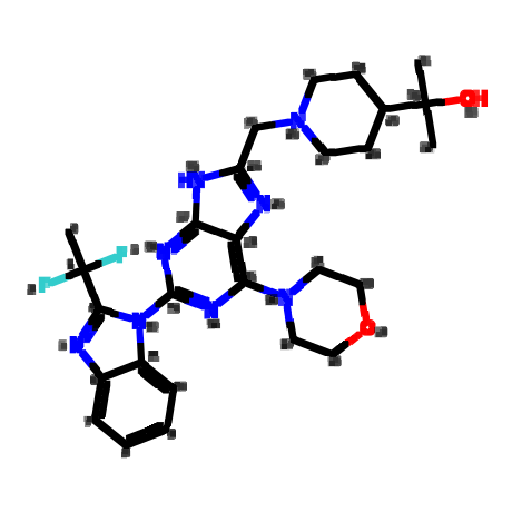 CC(F)(F)c1nc2ccccc2n1-c1nc(N2CCOCC2)c2nc(CN3CCC(C(C)(C)O)CC3)[nH]c2n1